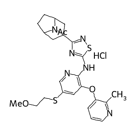 COCCSc1cnc(Nc2nc(C3CC4CCC(C3)N4C(C)=O)ns2)c(Oc2cccnc2C)c1.Cl